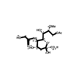 CO[C@H](COC(C)=O)[C@@H](O)[C@@H]1O[C@](O)(C(=O)O)C[C@H](O)[C@H]1NC(=O)CO